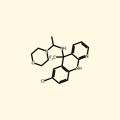 CC(NC1(C(F)(F)F)c2cc(Cl)ccc2Nc2ncccc21)N1CCOCC1